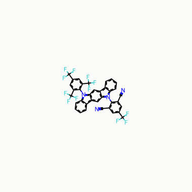 N#Cc1cc(C(F)(F)F)cc(C#N)c1-n1c2ccccc2c2cc3c(cc21)c1ccccc1n3-c1c(C(F)(F)F)cc(C(F)(F)F)cc1C(F)(F)F